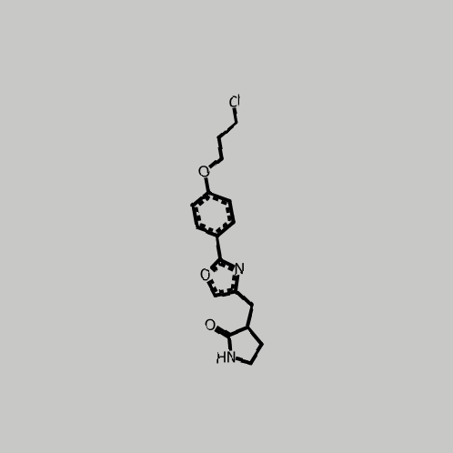 O=C1NCCC1Cc1coc(-c2ccc(OCCCCl)cc2)n1